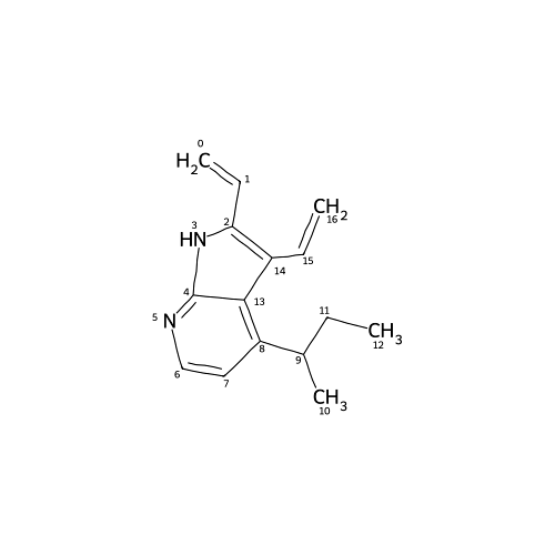 C=Cc1[nH]c2nccc(C(C)CC)c2c1C=C